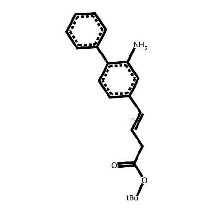 CC(C)(C)OC(=O)C/C=C/c1ccc(-c2ccccc2)c(N)c1